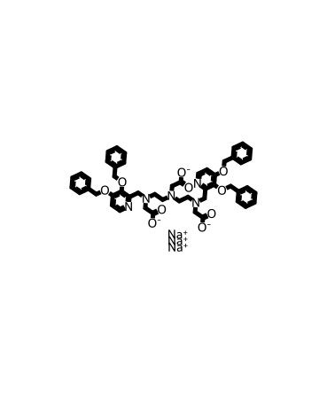 O=C([O-])CN(CCN(CC(=O)[O-])Cc1nccc(OCc2ccccc2)c1OCc1ccccc1)CCN(CC(=O)[O-])Cc1nccc(OCc2ccccc2)c1OCc1ccccc1.[Na+].[Na+].[Na+]